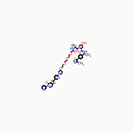 Cc1ncsc1-c1ccc([C@H](C)NC(=O)[C@@H]2C[C@@H](O)CN2C(=O)[C@@H](NC(=O)COCCOCCOCCOC2CCN(c3ccc(-c4nc5c(s4)C(=O)N(c4cccnc4)CC5)cn3)C2)C(C)(C)C)cc1